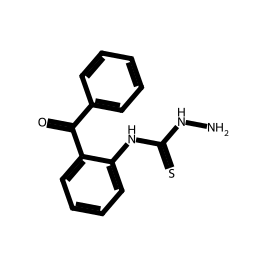 NNC(=S)Nc1ccccc1C(=O)c1ccccc1